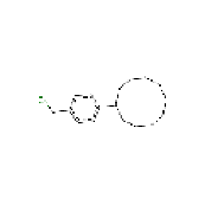 ClCc1ccc(C2CCCCCCCCC2)cc1